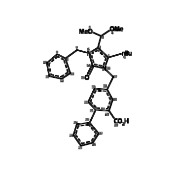 CCCCc1c(C(OC)OC)n(Cc2ccccc2)c(=O)n1Cc1ccc(-c2ccccc2)c(C(=O)O)c1